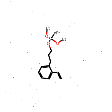 C=Cc1ccccc1CCCO[Si](CCC)(OCC)OCC